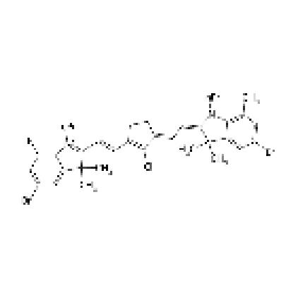 CCCN1/C(=C/C=C2\CCC(/C=C/C3=[N+](CCC)c4c(F)cc(Br)cc4C3(C)C)=C2Cl)C(C)(C)c2cc(Br)cc(C)c21